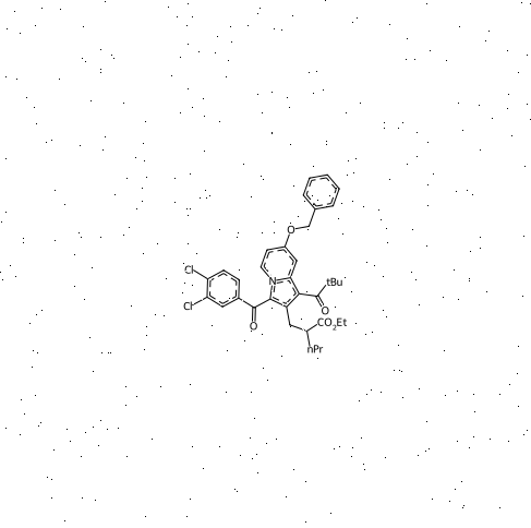 CCCC(Cc1c(C(=O)C(C)(C)C)c2cc(OCc3ccccc3)ccn2c1C(=O)c1ccc(Cl)c(Cl)c1)C(=O)OCC